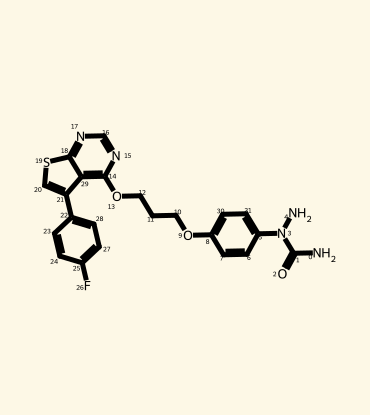 NC(=O)N(N)c1ccc(OCCCOc2ncnc3scc(-c4ccc(F)cc4)c23)cc1